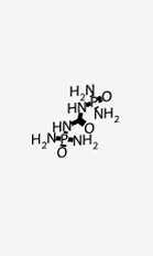 NP(N)(=O)NC(=O)NP(N)(N)=O